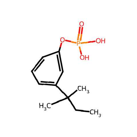 CCC(C)(C)c1cccc(OP(=O)(O)O)c1